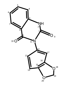 O=c1[nH]c2ccccc2c(=O)n1-c1ccc2c(c1)OCO2